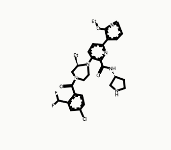 CCOc1ncccc1-c1ccc(N2CCN(C(=O)c3ccc(Cl)cc3C(F)F)C[C@H]2CC)c(C(=O)N[C@@H]2CCNC2)n1